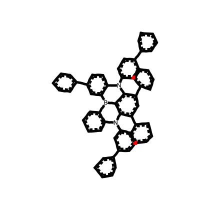 c1ccc(-c2ccc(N3c4ccc(-c5ccccc5)cc4B4c5ccccc5N(c5cccc(-c6ccccc6)c5)c5c(-c6ccccc6)cc(-c6ccccc6)c3c54)cc2)cc1